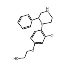 OCCOc1ccc(N2CCNCC2c2ccccc2)c(Cl)c1